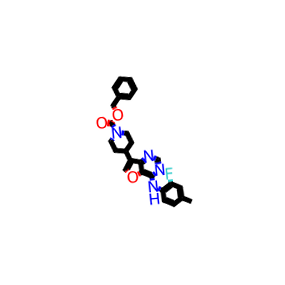 Cc1ccc(Nc2ncnc3c(C4CCN(C(=O)OCc5ccccc5)CC4)coc23)c(F)c1